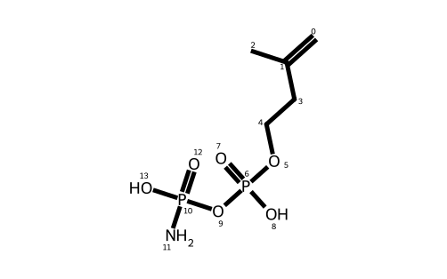 C=C(C)CCOP(=O)(O)OP(N)(=O)O